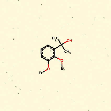 CCOc1cccc(C(C)(C)O)c1OCC